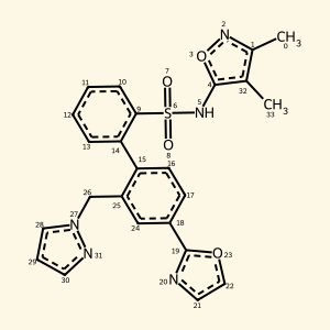 Cc1noc(NS(=O)(=O)c2ccccc2-c2ccc(-c3ncco3)cc2Cn2cccn2)c1C